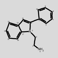 NCCn1c(-c2ccccc2)cc2ccccc21